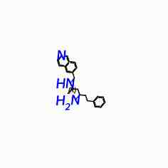 C[C@H](CC(N)CCc1ccccc1)NCc1ccc2cnccc2c1